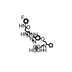 O=C(Cc1cc(Nc2ncnc3cc(OCCC(NCCOP(=O)(O)O)C4CCCC4)ccc23)n[nH]1)Nc1cccc(F)c1